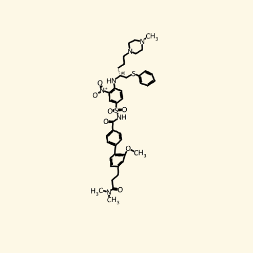 COc1cc(CCC(=O)N(C)C)ccc1-c1ccc(C(=O)NS(=O)(=O)c2ccc(N[C@H](CCCN3CCN(C)CC3)CSc3ccccc3)c([N+](=O)[O-])c2)cc1